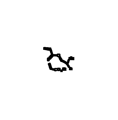 C=CC(=O)OCC.C=CC(=O)OCC(CC)CCCC